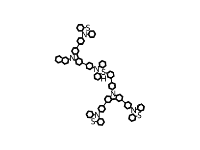 c1cc(-c2ccc(-n3c4ccc(-c5ccc(N6c7ccccc7Sc7ccccc76)cc5)cc4c4cc(-c5ccc(N6c7ccccc7Sc7ccccc76)cc5)ccc43)cc2)cc([SH]2c3ccccc3N(c3ccc(-c4ccc5c(c4)c4cc(-c6ccc(N7c8ccccc8Sc8ccccc87)cc6)ccc4n5-c4ccc5ccccc5c4)cc3)c3ccccc32)c1